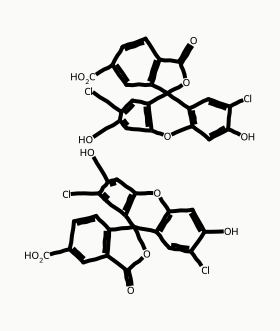 O=C(O)c1ccc2c(c1)C(=O)OC21c2cc(Cl)c(O)cc2Oc2cc(O)c(Cl)cc21.O=C(O)c1ccc2c(c1)C1(OC2=O)c2cc(Cl)c(O)cc2Oc2cc(O)c(Cl)cc21